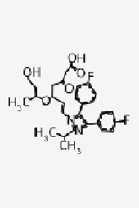 CC(CCO)OC(C=Cn1c(C(C)C)nc(-c2ccc(F)cc2)c1-c1ccc(F)cc1)CC(=O)CC(=O)O